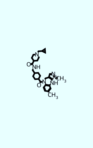 Cc1ccc2c(c1)Nc1c(cnn1C)CN2C(=O)C1CCC(CNC(=O)C2CCN(CC3CC3)CC2)CC1